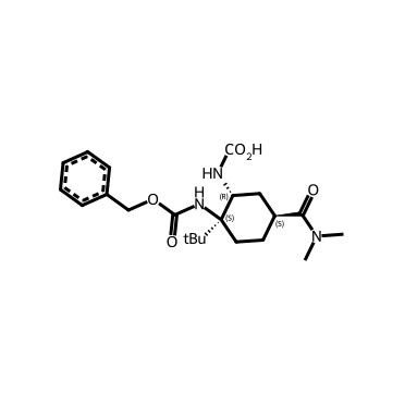 CN(C)C(=O)[C@H]1CC[C@](NC(=O)OCc2ccccc2)(C(C)(C)C)[C@H](NC(=O)O)C1